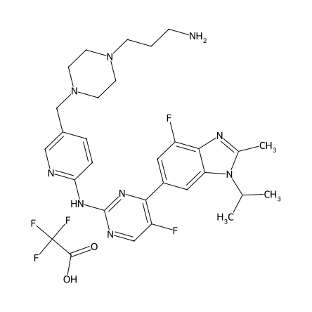 Cc1nc2c(F)cc(-c3nc(Nc4ccc(CN5CCN(CCCN)CC5)cn4)ncc3F)cc2n1C(C)C.O=C(O)C(F)(F)F